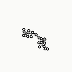 CC1(C)c2ccccc2-c2ccc(N(c3ccccc3)c3cc4c(c5ccccc35)-c3c(ccc5cc(-c6ccc7c(c6)sc6c(N(c8ccccc8)c8cc9c(c%10ccccc8%10)-c8c(ccc%10ccccc8%10)C98c9ccccc9-c9ccccc98)cccc67)ccc35)C43c4ccccc4-c4ccccc43)cc21